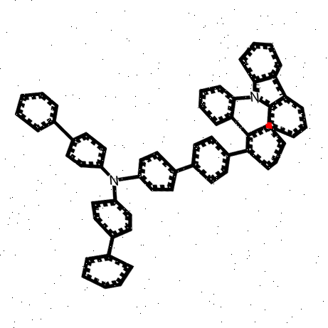 c1ccc(-c2ccc(N(c3ccc(-c4ccccc4)cc3)c3ccc(-c4ccc(-c5ccccc5-c5ccccc5-n5c6ccccc6c6ccccc65)cc4)cc3)cc2)cc1